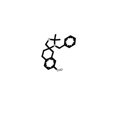 CC1(C)OCC2(CCc3ccc(C=O)cc3C2)N1Cc1ccccc1